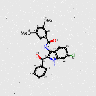 COc1cc(OC)cc(C(=O)Nc2c(C(=O)c3ccccc3)[nH]c3cc(Cl)ccc23)c1